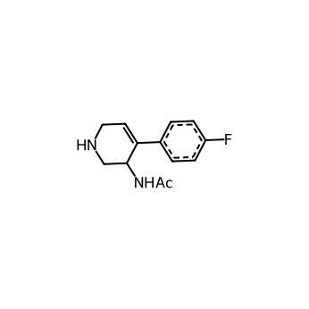 CC(=O)NC1CNCC=C1c1ccc(F)cc1